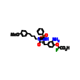 COc1ccc(CCCCNC(=O)[C@H](Cc2ccc(OC(F)C(=O)O)c(N)c2)NS(=O)(=O)c2ccccc2)cc1